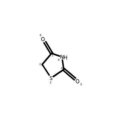 O=C1[CH]SC(=O)N1